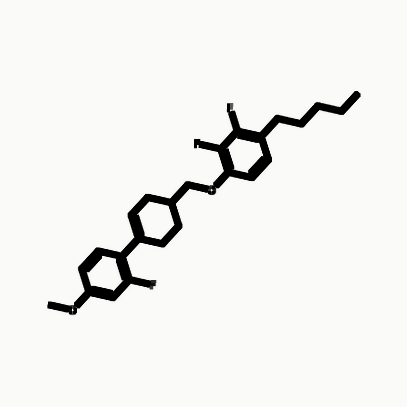 CCCCCc1ccc(OCC2CC=C(c3ccc(OC)cc3F)CC2)c(F)c1F